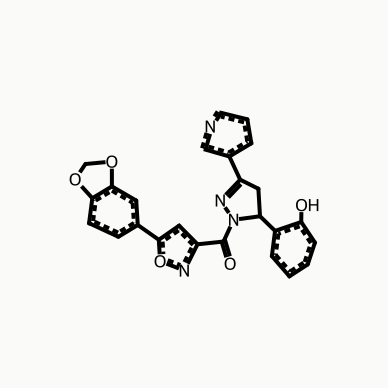 O=C(c1cc(-c2ccc3c(c2)OCO3)on1)N1N=C(c2cccnc2)CC1c1ccccc1O